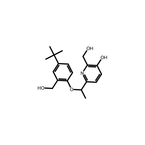 CC(Oc1ccc(C(C)(C)C)cc1CO)c1ccc(O)c(CO)n1